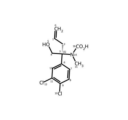 C=CC[C@@](CO)(c1ccc(Cl)c(Cl)c1)N(C)C(=O)O